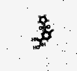 Cc1ccc(C(=N)NO)cc1S(=O)(=O)N1CCCC1